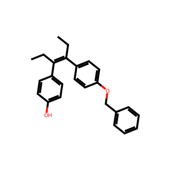 CCC(=C(CC)c1ccc(OCc2ccccc2)cc1)c1ccc(O)cc1